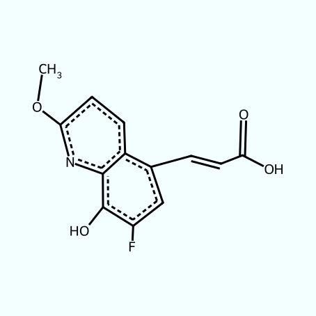 COc1ccc2c(C=CC(=O)O)cc(F)c(O)c2n1